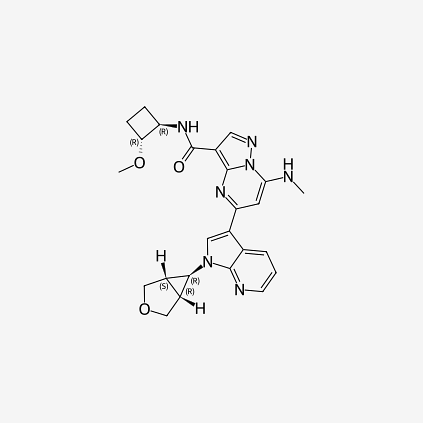 CNc1cc(-c2cn([C@H]3[C@@H]4COC[C@@H]43)c3ncccc23)nc2c(C(=O)N[C@@H]3CC[C@H]3OC)cnn12